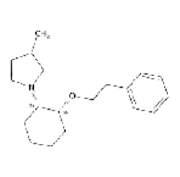 CC1CCN([C@H]2CCCC[C@H]2OCCc2ccccc2)C1